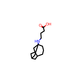 O=C(O)CCCNC12CCCC3CC(CC3C1)C2